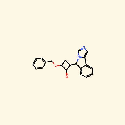 O=C1C(OCc2ccccc2)CC1C1c2ccccc2-c2cncn21